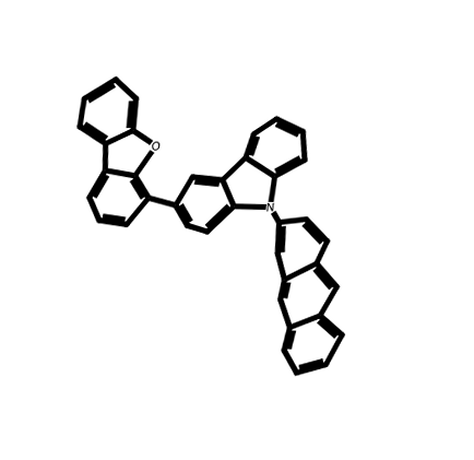 c1ccc2cc3cc(-n4c5ccccc5c5cc(-c6cccc7c6oc6ccccc67)ccc54)ccc3cc2c1